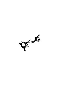 Cc1cc(C)nc(SCc2cn(C)cn2)n1